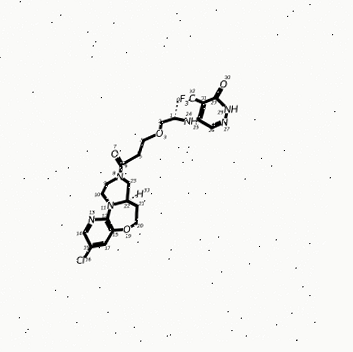 C[C@@H](COCCC(=O)N1CCN2c3ncc(Cl)cc3OCC[C@@H]2C1)Nc1cn[nH]c(=O)c1C(F)(F)F